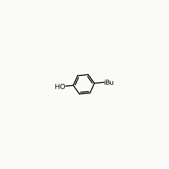 [CH2]C(CC)c1ccc(O)cc1